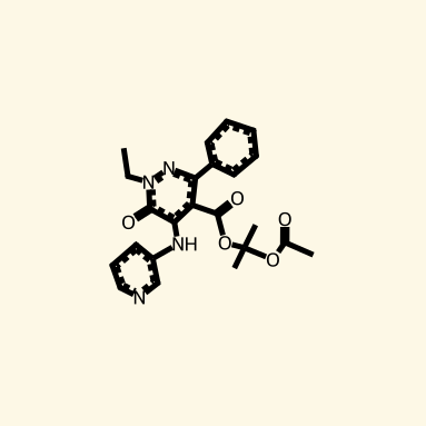 CCn1nc(-c2ccccc2)c(C(=O)OC(C)(C)OC(C)=O)c(Nc2cccnc2)c1=O